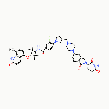 CC1(C)C(NC(=O)c2ccc(N3CC[C@@H](CN4CCN(c5ccc6c(c5)CN([C@H]5CCC(=O)NC5=O)C6=O)CC4)C3)c(F)c2)C(C)(C)C1Oc1ccc(C#N)c2[nH]c(=O)ccc12